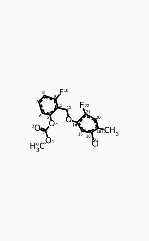 COC(=O)Oc1cccc(F)c1COc1cc(Cl)c(C)cc1F